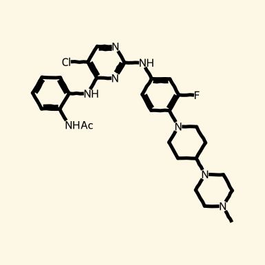 CC(=O)Nc1ccccc1Nc1nc(Nc2ccc(N3CCC(N4CCN(C)CC4)CC3)c(F)c2)ncc1Cl